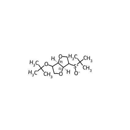 CC(C)(C)OC1CO[C@@H]2C([S+]([O-])C(C)(C)C)CO[C@H]12